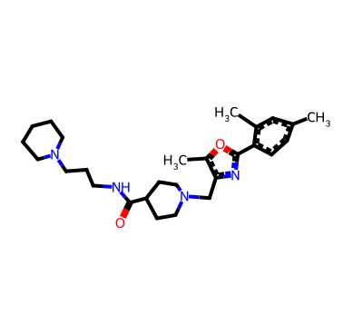 Cc1ccc(-c2nc(CN3CCC(C(=O)NCCCN4CCCCC4)CC3)c(C)o2)c(C)c1